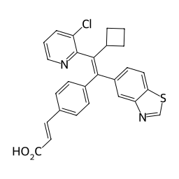 O=C(O)/C=C/c1ccc(/C(=C(\c2ncccc2Cl)C2CCC2)c2ccc3scnc3c2)cc1